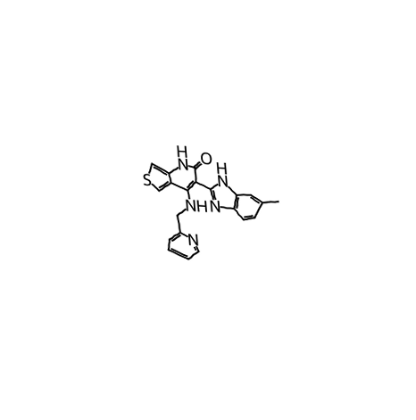 Cc1ccc2nc(-c3c(NCc4ccccn4)c4cscc4[nH]c3=O)[nH]c2c1